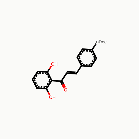 CCCCCCCCCCc1ccc(/C=C/C(=O)c2c(O)cccc2O)cc1